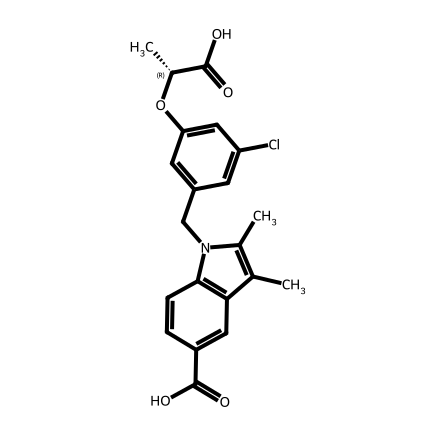 Cc1c(C)n(Cc2cc(Cl)cc(O[C@H](C)C(=O)O)c2)c2ccc(C(=O)O)cc12